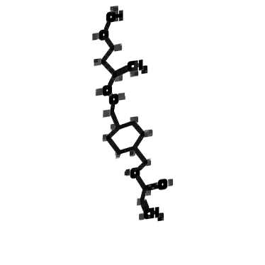 C=CC(=O)OCC1CCC(COOC(=C)CCOO)CC1